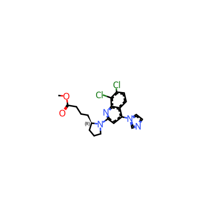 COC(=O)CCC[C@@H]1CCCN1c1cc(-n2ccnc2)c2ccc(Cl)c(Cl)c2n1